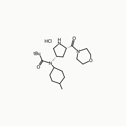 CC1CCC(N(C(=O)C(C)(C)C)[C@@H]2CN[C@H](C(=O)N3CCOCC3)C2)CC1.Cl